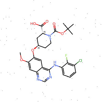 COc1cc2ncnc(Nc3cccc(Cl)c3F)c2cc1O[C@@H]1CCN(C(=O)OC(C)(C)C)[C@@H](C(=O)O)C1